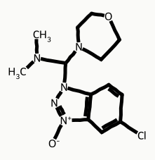 CN(C)C(N1CCOCC1)n1n[n+]([O-])c2cc(Cl)ccc21